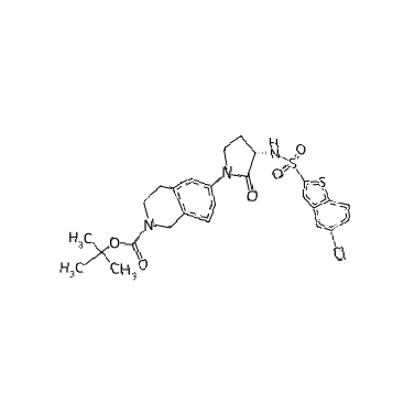 CC(C)(C)OC(=O)N1CCc2cc(N3CC[C@H](NS(=O)(=O)c4cc5cc(Cl)ccc5s4)C3=O)ccc2C1